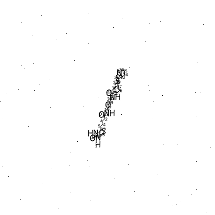 O=C(CCCCC1SCC2NC(=O)NC21)NCCOCCNC(=O)c1cccc(CSSc2ccccn2)c1